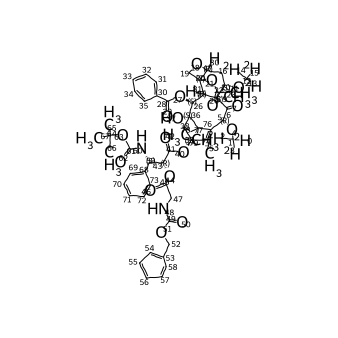 [2H]C([2H])([2H])O[C@H]1C(=O)[C@]2(C)[C@@H](OC([2H])([2H])[2H])C[C@H]3OC[C@@]3(OC(C)=O)[C@H]2[C@H](OC(=O)c2ccccc2)[C@]2(O)C[C@H](OC(=O)[C@H](OC(=O)CNC(=O)OCc3ccccc3)[C@@H](NC(=O)OC(C)(C)C)c3ccccc3)C(C)=C1C2(C)C